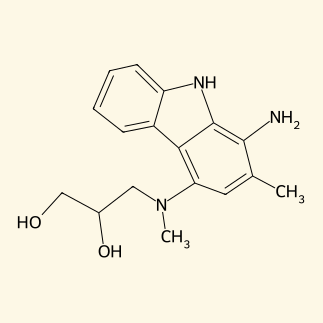 Cc1cc(N(C)CC(O)CO)c2c([nH]c3ccccc32)c1N